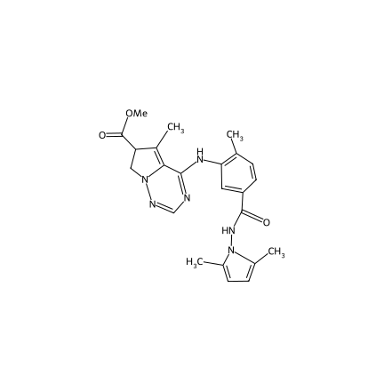 COC(=O)C1CN2N=CN=C(Nc3cc(C(=O)Nn4c(C)ccc4C)ccc3C)C2=C1C